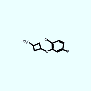 O=C(O)C1CC(Oc2cc(F)ccc2Cl)C1